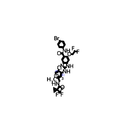 C/C=C(Cl)\C(=C/[C@@](C)(F)CNC(=O)C1(C(F)(F)F)CC1)Nc1nc2cc(C(=O)Nc3ccc(Br)cc3)c(OCC(F)F)cc2[nH]1